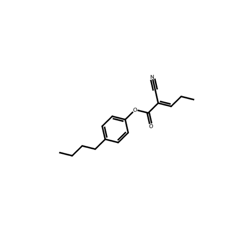 CCC=C(C#N)C(=O)Oc1ccc(CCCC)cc1